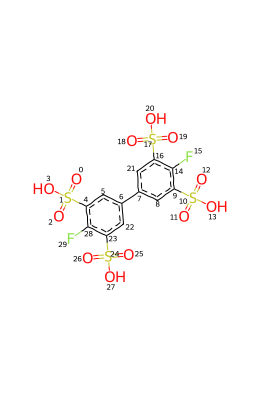 O=S(=O)(O)c1cc(-c2cc(S(=O)(=O)O)c(F)c(S(=O)(=O)O)c2)cc(S(=O)(=O)O)c1F